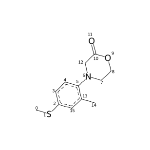 CSc1ccc(N2CCOC(=O)C2)c(C)c1